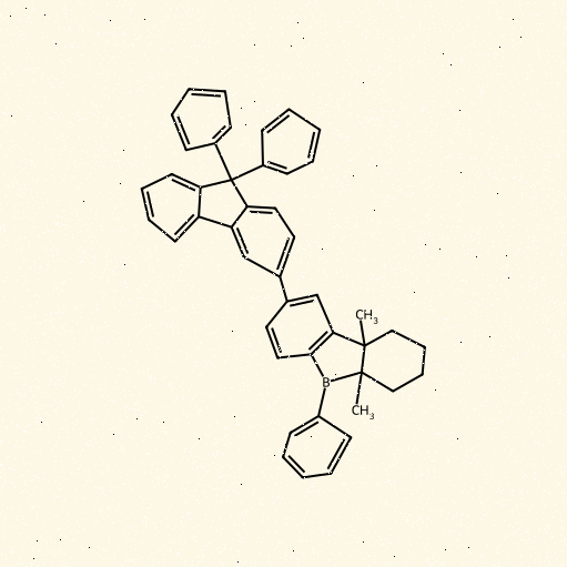 CC12CCCCC1(C)c1cc(-c3ccc4c(c3)-c3ccccc3C4(c3ccccc3)c3ccccc3)ccc1B2c1ccccc1